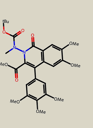 COC(=O)c1c(-c2cc(OC)c(OC)c(OC)c2)c2cc(OC)c(OC)cc2c(=O)n1N(C)C(=O)OC(C)(C)C